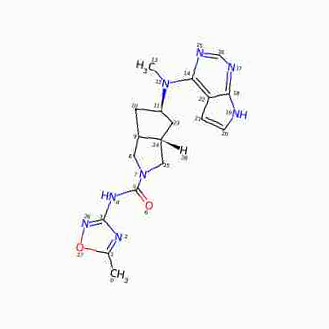 Cc1nc(NC(=O)N2CC3C[C@@H](N(C)c4ncnc5[nH]ccc45)C[C@@H]3C2)no1